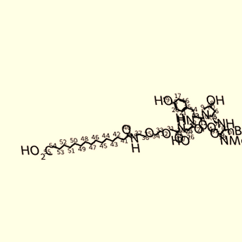 CCCC[C@H](NC(=O)[C@@H]1C[C@@H](O)CN1C(=O)[C@H](Cc1ccc(O)cc1)NC(=O)[C@H](CO)NC(=O)COCCOCCNC(=O)CCCCCCCCCCCCCCC(=O)O)C(=O)NC